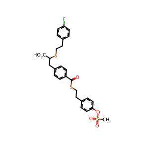 CS(=O)(=O)Oc1ccc(CCSC(=O)c2ccc(CC(SCCc3ccc(F)cc3)C(=O)O)cc2)cc1